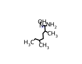 CCC(C)CCC(C)/C(N)=N/O